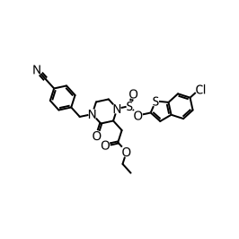 CCOC(=O)CC1C(=O)N(Cc2ccc(C#N)cc2)CCN1S(=O)Oc1cc2ccc(Cl)cc2s1